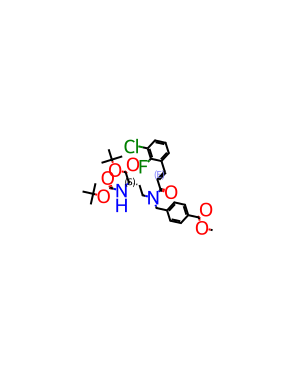 COC(=O)c1ccc(CN(CC[C@H](NC(=O)OC(C)(C)C)C(=O)OC(C)(C)C)C(=O)/C=C/c2cccc(Cl)c2F)cc1